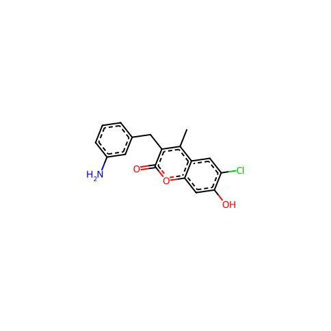 Cc1c(Cc2cccc(N)c2)c(=O)oc2cc(O)c(Cl)cc12